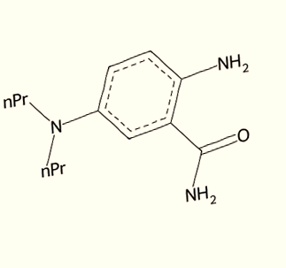 CCCN(CCC)c1ccc(N)c(C(N)=O)c1